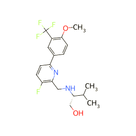 COc1ccc(-c2ccc(F)c(CN[C@@H](CO)C(C)C)n2)cc1C(F)(F)F